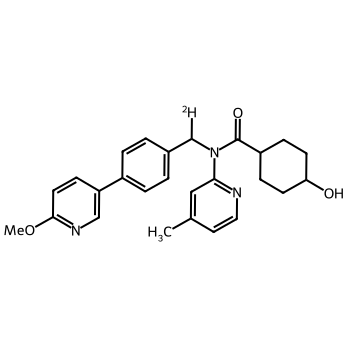 [2H]C(c1ccc(-c2ccc(OC)nc2)cc1)N(C(=O)C1CCC(O)CC1)c1cc(C)ccn1